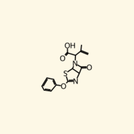 C=C(C)C(C(=O)O)N1C(=O)C2N=C(Oc3ccccc3)SC21